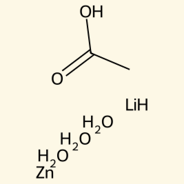 CC(=O)O.O.O.O.[LiH].[Zn]